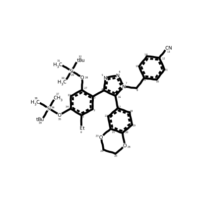 CCc1cc(-c2nnn(Cc3ccc(C#N)cc3)c2-c2ccc3c(c2)OCCO3)c(O[Si](C)(C)C(C)(C)C)cc1O[Si](C)(C)C(C)(C)C